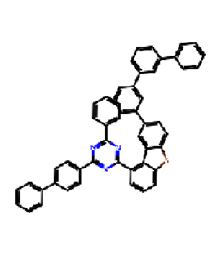 c1ccc(-c2ccc(-c3nc(-c4ccccc4)nc(-c4cccc5sc6ccc(-c7cccc(-c8cccc(-c9ccccc9)c8)c7)cc6c45)n3)cc2)cc1